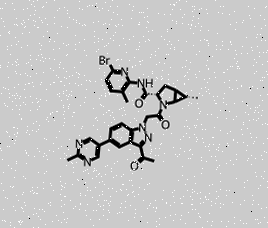 CC(=O)c1nn(CC(=O)N2C3C(C[C@H]2C(=O)Nc2nc(Br)ccc2C)[C@@H]3C)c2ccc(-c3cnc(C)nc3)cc12